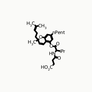 CCCCCc1cc(OC(=O)C(NC(=O)CCC(=O)O)C(C)C)c2c(c1)OC(C)(CCC=C(C)C)C=C2